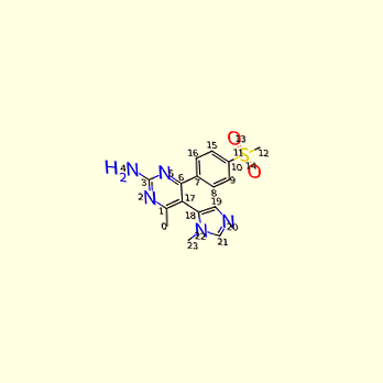 Cc1nc(N)nc(-c2ccc(S(C)(=O)=O)cc2)c1-c1cncn1C